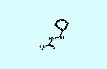 NC(=S)NNc1ccccc1